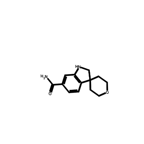 NC(=O)c1ccc2c(c1)NCC21CCOCC1